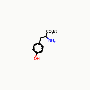 CCOC(=O)C(N)Cc1ccc(O)cc1